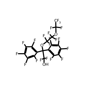 OC(F)(F)C(OC(F)(F)C(F)(F)OC(F)(F)C(F)(F)F)(c1c(F)c(F)c(F)c(F)c1F)c1c(F)c(F)c(F)c(F)c1F